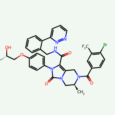 C[C@H]1Cn2c(c(C(=O)NCc3ccccc3-c3cccnn3)n(-c3ccc(OC[C@@H](O)C(F)(F)F)cc3)c2=O)CN1C(=O)c1ccc(Br)c(C(F)(F)F)c1